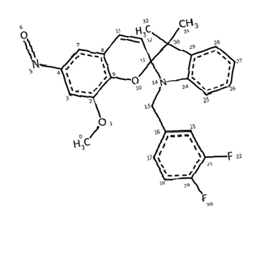 COc1cc(N=O)cc2c1OC1(C=C2)N(Cc2ccc(F)c(F)c2)c2ccccc2C1(C)C